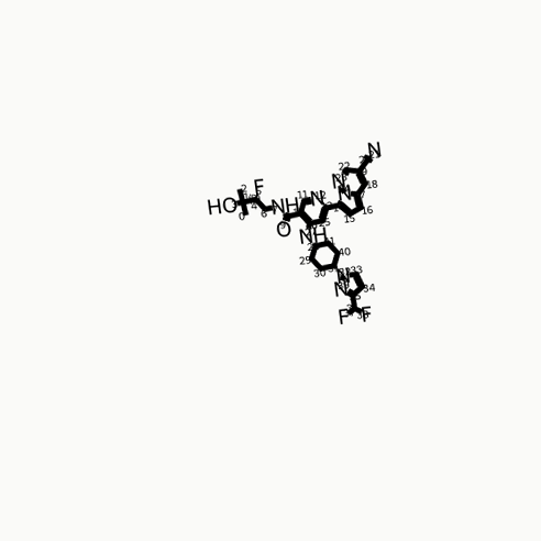 CC(C)(O)[C@H](F)CNC(=O)c1cnc(-c2ccc3cc(C#N)cnn23)cc1N[C@H]1CC[C@H](n2ccc(C(F)F)n2)CC1